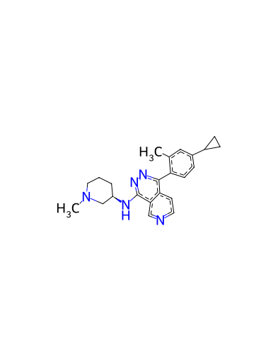 Cc1cc(C2CC2)ccc1-c1nnc(N[C@@H]2CCCN(C)C2)c2cnccc12